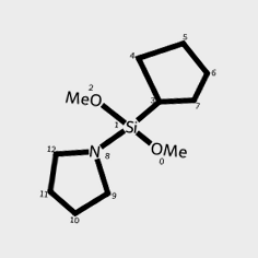 CO[Si](OC)(C1CCCC1)N1CCCC1